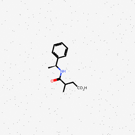 CC(CC(=O)O)C(=O)N[C@@H](C)c1ccccc1